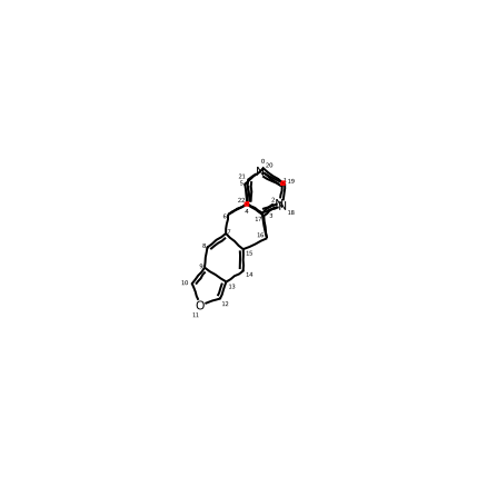 c1cnc2c(c1)C1c3cc4cocc4cc3C2c2ncncc21